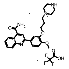 COc1ccc(-c2cc(C(N)=O)c3ccccc3n2)cc1OCCCN1CCNCC1.O=C(O)C(F)(F)F